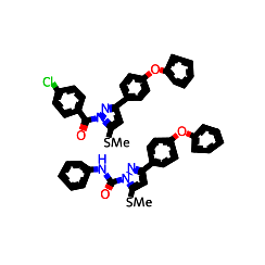 CSc1cc(-c2ccc(Oc3ccccc3)cc2)nn1C(=O)Nc1ccccc1.CSc1cc(-c2ccc(Oc3ccccc3)cc2)nn1C(=O)c1ccc(Cl)cc1